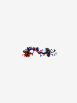 CSSC(C)c1ccccc1C(=O)OC1C[C@H](n2cc(C#CCNC(=O)COCCOC(COc3cccc(C(=O)NCCNC(=O)c4ccc(C5=c6cc7c(c(S(=O)(=O)O)c6Oc6c5cc5c(c6S(=O)(=O)O)NC(C)C5(C)C)=NC(C)C7(C)C)cc4)c3)N=[N+]=[N-])c3c(N)ncnc32)O[C@@H]1COP(=O)(O)OP(=O)(O)OP(=O)(O)O